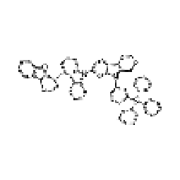 c1ccc([Si](c2ccccc2)(c2ccccc2)c2cccc(-n3c4ccccc4c4ccc(-n5c6ccccc6c6c(-c7cccc8c7oc7ccccc78)cccc65)cc43)c2)cc1